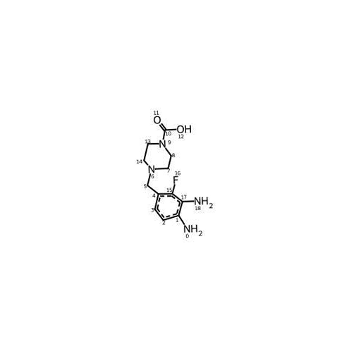 Nc1ccc(CN2CCN(C(=O)O)CC2)c(F)c1N